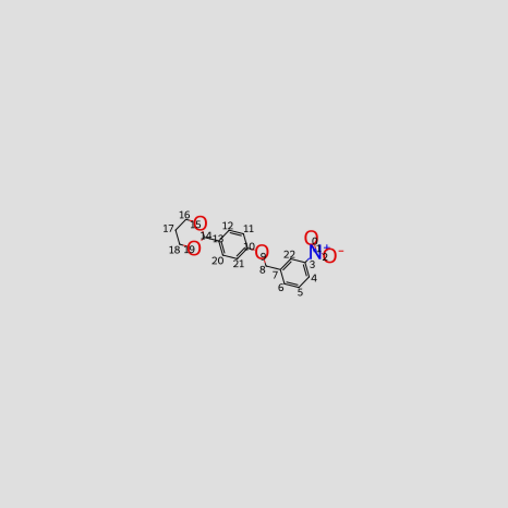 O=[N+]([O-])c1cccc(COc2ccc(C3OCCCO3)cc2)c1